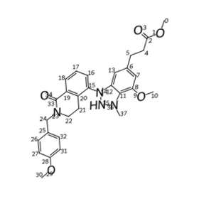 COC(=O)CCc1cc(OC)c2c(c1)N(c1cccc3c1CCN(Cc1ccc(OC)cc1)C3=O)NN2C